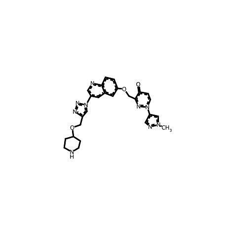 Cn1cc(-n2ccc(=O)c(COc3ccc4ncc(-n5cc(COC6CCNCC6)nn5)cc4c3)n2)cn1